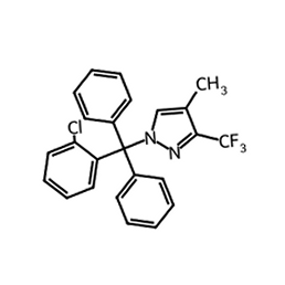 Cc1cn(C(c2ccccc2)(c2ccccc2)c2ccccc2Cl)nc1C(F)(F)F